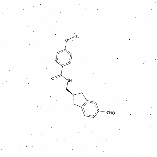 CCCCOc1ccc(C(=O)NC[C@@H]2Cc3ccc(C=O)cc3C2)nc1